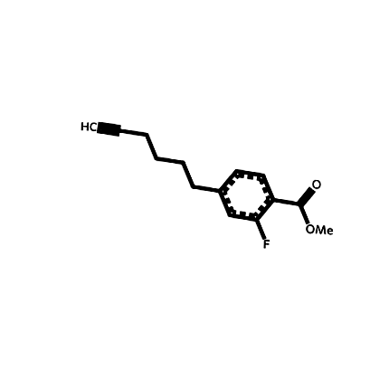 C#CCCCCc1ccc(C(=O)OC)c(F)c1